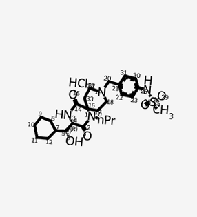 CCCN1C(=O)[C@@H]([C@H](O)C2CCCCC2)NC(=O)C12CCN(Cc1ccc(NS(C)(=O)=O)cc1)CC2.Cl